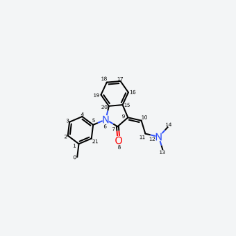 Cc1cccc(N2C(=O)C(=CCN(C)C)c3ccccc32)c1